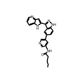 CCCCC(=O)Nc1cncc(-c2ccc3[nH]nc(-c4cc5ncccc5[nH]4)c3c2)c1